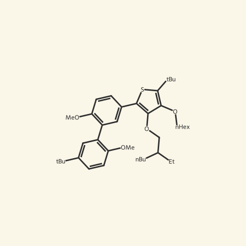 CCCCCCOc1c(C(C)(C)C)sc(-c2ccc(OC)c(-c3cc(C(C)(C)C)ccc3OC)c2)c1OCC(CC)CCCC